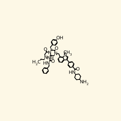 C=CCN1CC(=O)N2[C@@H](Cc3ccc(O)cc3)C(=O)N(Cc3cccc4c(-c5ccc(C(=O)NC6CCC(N)CC6)cc5)cn(C)c34)C[C@@H]2N1C(=O)NCc1ccccc1